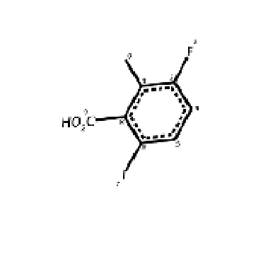 Cc1c(F)ccc(I)c1C(=O)O